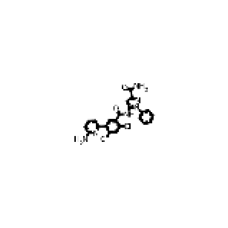 NC(=O)c1cc(NC(=O)c2cc(-c3cccc(N)n3)c(Cl)cc2Cl)n(-c2ccccc2)n1